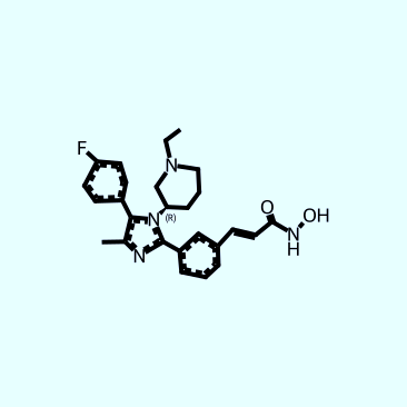 CCN1CCC[C@@H](n2c(-c3cccc(C=CC(=O)NO)c3)nc(C)c2-c2ccc(F)cc2)C1